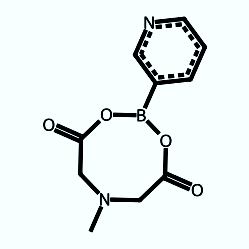 CN1CC(=O)OB(c2cccnc2)OC(=O)C1